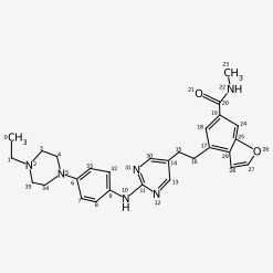 CCN1CCN(c2ccc(Nc3ncc(CCc4cc(C(=O)NC)cc5occc45)cn3)cc2)CC1